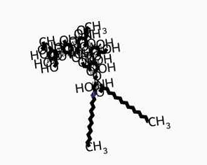 CCCCCCCCCCCCC/C=C/[C@@H](O)[C@H](CO[C@@H]1OC(CO)[C@@H](O[C@@H]2OC(CO)[C@H](O)[C@H](O[C@@H]3OC(CO)[C@@H](O[C@@H]4OC(CO)[C@H](O)[C@H](O[C@@H]5OC(CO)[C@H](O)[C@H](O)C5NC(C)=O)C4O)[C@H](O)C3NC(C)=O)C2O)[C@H](O)C1O)NC(=O)CCCCCCCCCCCCCCC